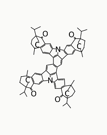 CC(C)C12CCC(C)(CC1)c1cc3c4cc5c(cc6c7cc8c(cc7n7c9cc%10c(cc9c5c67)C5(C)CCC(C(C)C)(CC5)C%10=O)C(=O)C5(C(C)C)CCC8(C)CC5)c5c6cc7c(cc6n(c3cc1C2=O)c45)C(=O)C1(C(C)C)CCC7(C)CC1